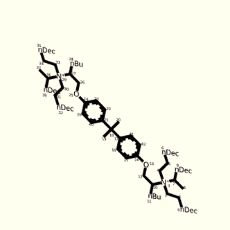 CCCCCCCCCCCC[N+](CCCCCCCCCCCC)(C(C)CCCCCCCCCC)C(CCCC)COc1ccc(C(C)(C)c2ccc(OCC(CCCC)[N+](CCCCCCCCCCCC)(CCCCCCCCCCCC)C(C)CCCCCCCCCC)cc2)cc1